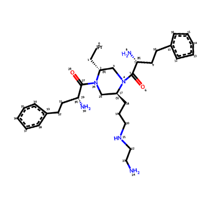 CC(C)C[C@@H]1CN(C(=O)[C@H](N)CCc2ccccc2)[C@@H](CCCNCCN)CN1C(=O)[C@H](N)CCc1ccccc1